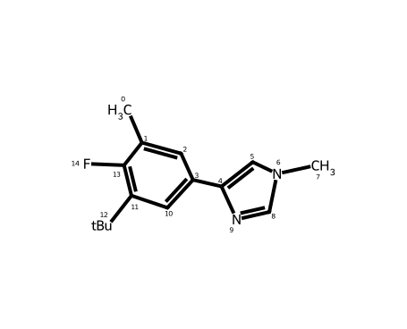 Cc1cc(-c2cn(C)cn2)cc(C(C)(C)C)c1F